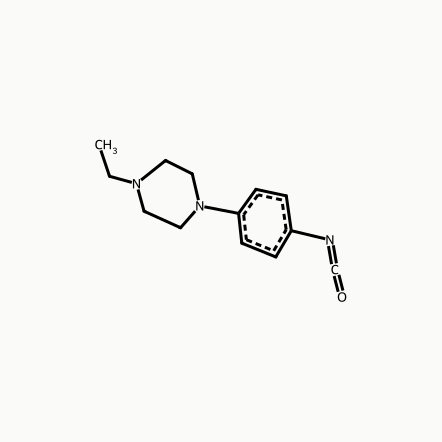 CCN1CCN(c2ccc(N=C=O)cc2)CC1